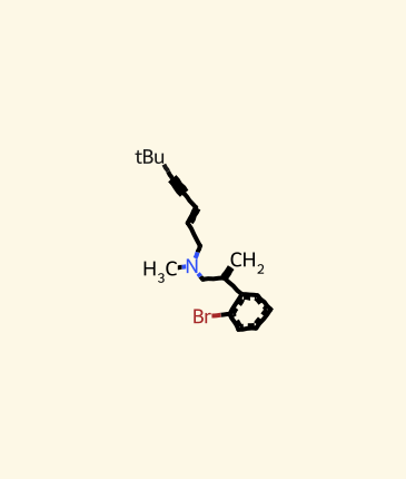 C=C(CN(C)CC=CC#CC(C)(C)C)c1ccccc1Br